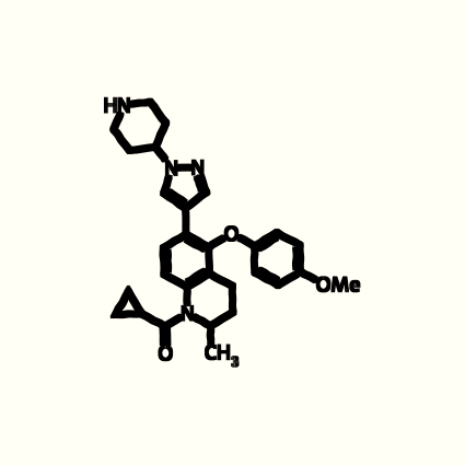 COc1ccc(Oc2c(-c3cnn(C4CCNCC4)c3)ccc3c2CCC(C)N3C(=O)C2CC2)cc1